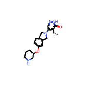 CC(C)c1c(N2Cc3ccc(OC4CCCNC4)cc3C2)cn[nH]c1=O